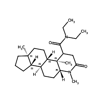 CCN(CC)C(=O)C1CC(=O)N(C)[C@@H]2CC[C@H]3[C@@H]4CCC[C@@]4(C)CC[C@@H]3[C@@]12C